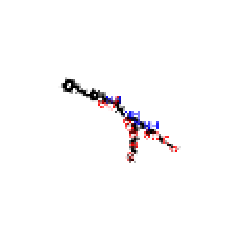 COCCOCCOCC(=O)NCCN(CC(=O)NCCCC(=O)ONC(=O)Cc1ccc(CCCCc2ccccc2)cc1)C(=O)COCCOCCOC